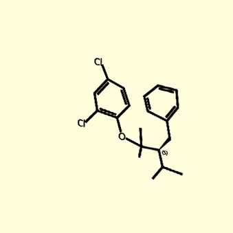 CC(C)[C@H](Cc1ccccc1)C(C)(C)Oc1ccc(Cl)cc1Cl